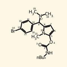 CCCCNC(=O)Oc1ccc(C(c2ccc(Br)cc2)N(C)C)n1C